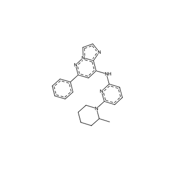 CC1CCCCN1c1cccc(Nc2cc(-c3ccccc3)nn3ccnc23)n1